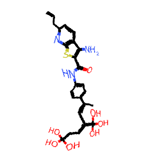 C=CCc1ccc2c(N)c(C(=O)Nc3ccc(/C(C)=C/C(=C\CC(O)(O)O)C(O)(O)O)cc3)sc2n1